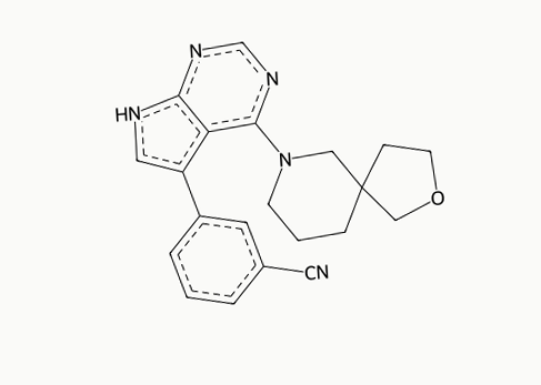 N#Cc1cccc(-c2c[nH]c3ncnc(N4CCCC5(CCOC5)C4)c23)c1